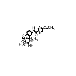 CCOc1cnc(C(=O)Nc2ccc(Cl)c([C@]3(C)CS(=O)(=O)N(C)C(=N)N3)c2)cn1